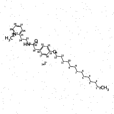 CCCCCCCCCCCCCCOc1ccc(CC(=O)NCCc2cccc[n+]2C)cc1.[I-]